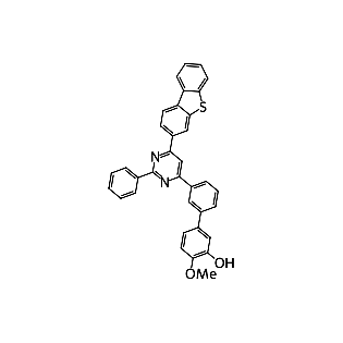 COc1ccc(-c2cccc(-c3cc(-c4ccc5c(c4)sc4ccccc45)nc(-c4ccccc4)n3)c2)cc1O